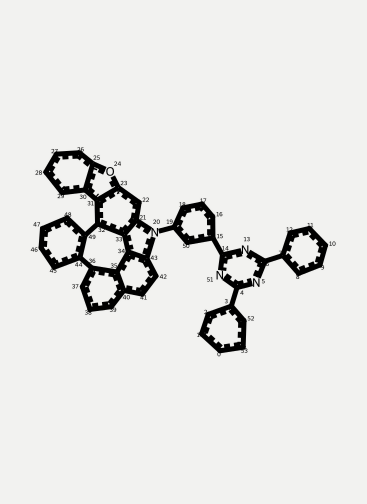 c1ccc(-c2nc(-c3ccccc3)nc(-c3cccc(-n4c5cc6oc7ccccc7c6c6c5c5c7c(cccc7ccc54)-c4ccccc4-6)c3)n2)cc1